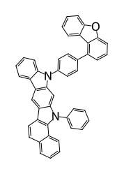 c1ccc(-n2c3cc4c(cc3c3ccc5ccccc5c32)c2ccccc2n4-c2ccc(-c3cccc4oc5ccccc5c34)cc2)cc1